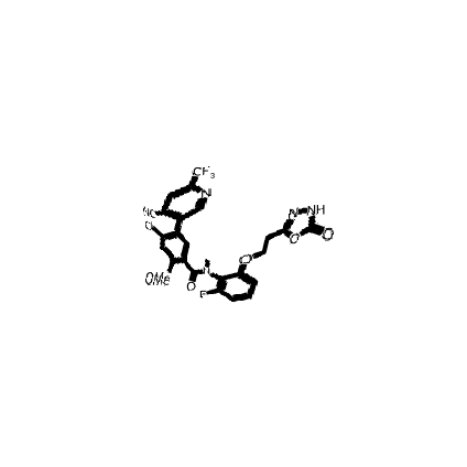 COc1cc(Cl)c(-c2cnc(C(F)(F)F)cc2C#N)cc1C(=O)N(C)c1c(F)cccc1OCCc1n[nH]c(=O)o1